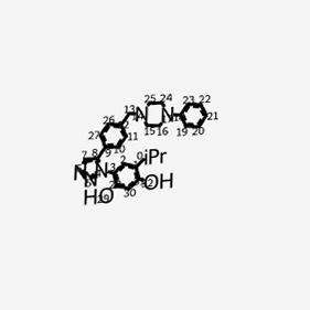 CC(C)c1cc(-n2nncc2-c2ccc(CN3CCN(c4ccccc4)CC3)cc2)c(O)cc1O